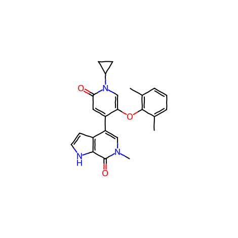 Cc1cccc(C)c1Oc1cn(C2CC2)c(=O)cc1-c1cn(C)c(=O)c2[nH]ccc12